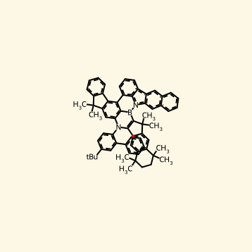 CC(C)(C)c1ccc(N2C3=C(B4c5c2cc2c(c5-c5cccc6c7cc8ccccc8cc7n4c56)-c4ccccc4C2(C)C)C(C)(C)c2cc4c(cc23)C(C)(C)CCC4(C)C)c(-c2ccccc2)c1